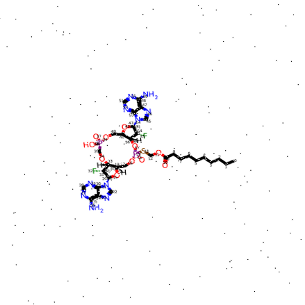 CCCCCCCCCC(=O)OCSP1(=O)OC[C@H]2O[C@@H](n3cnc4c(N)ncnc43)[C@H](F)[C@@H]2OCP(=O)(O)OCC2O[C@@H](n3cnc4c(N)ncnc43)[C@H](F)[C@@H]2O1